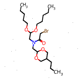 CCCCCOC(CN(CC1OCC(CCC)CO1)C(=O)CBr)OCCCCC